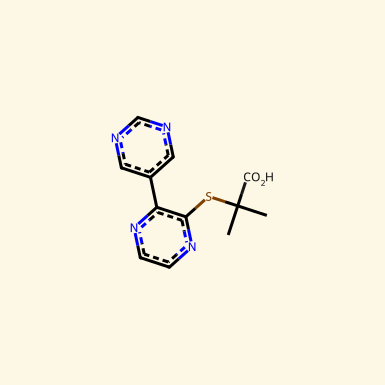 CC(C)(Sc1nccnc1-c1cncnc1)C(=O)O